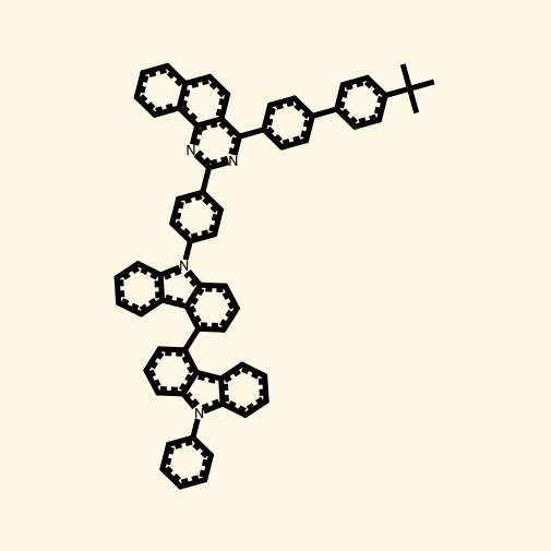 CC(C)(C)c1ccc(-c2ccc(-c3nc(-c4ccc(-n5c6ccccc6c6c(-c7cccc8c7c7ccccc7n8-c7ccccc7)cccc65)cc4)nc4c3ccc3ccccc34)cc2)cc1